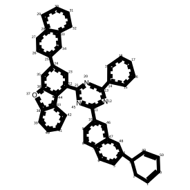 C1=CCC(c2ccc3ccc(-c4nc(-c5ccccc5)nc(-c5cc(-c6ccc7ccccc7c6)cc6oc7ccccc7c56)n4)cc3c2)C=C1